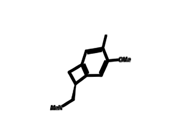 CNC[C@H]1Cc2cc(C)c(OC)cc21